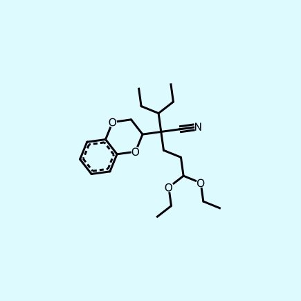 CCOC(CCC(C#N)(C(CC)CC)C1COc2ccccc2O1)OCC